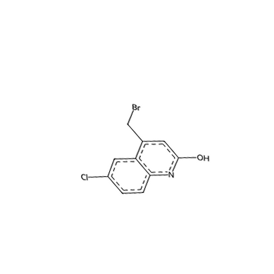 Oc1cc(CBr)c2cc(Cl)ccc2n1